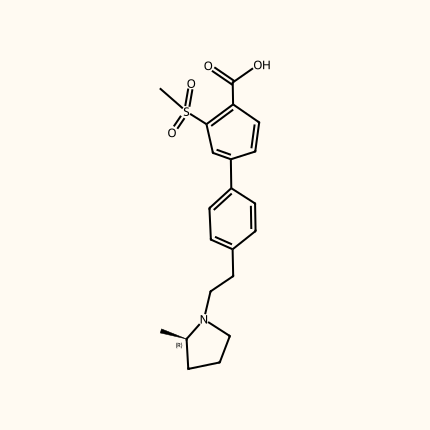 C[C@@H]1CCCN1CCc1ccc(-c2ccc(C(=O)O)c(S(C)(=O)=O)c2)cc1